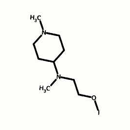 CN1CCC(N(C)CCOI)CC1